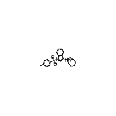 Cc1ccc(S(=O)(=O)n2cc(C3CC4CCCC3N4)c3ccccc32)cc1